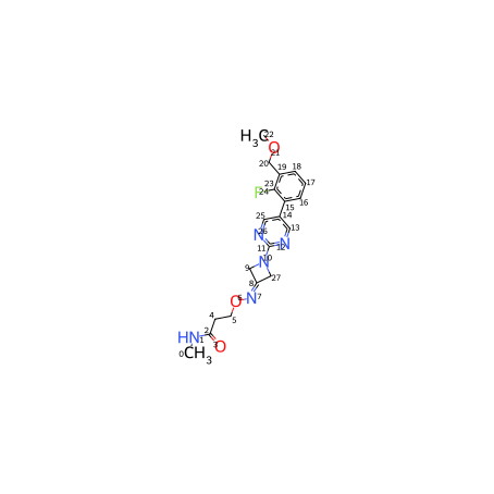 CNC(=O)CCON=C1CN(c2ncc(-c3cccc(COC)c3F)cn2)C1